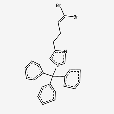 BrC(Br)=CCCc1cn(C(c2ccccc2)(c2ccccc2)c2ccccc2)cn1